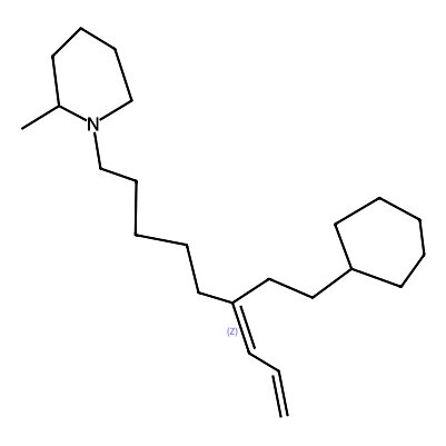 C=C/C=C(/CCCCCN1CCCCC1C)CCC1CCCCC1